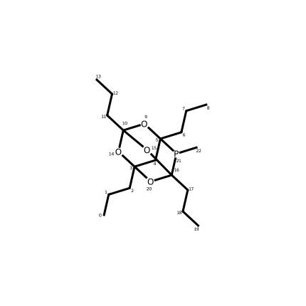 CCCC12CC3(CCC)OC(CCC)(O1)OC(CCC)(O2)P3C